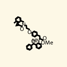 COC(=O)C(Cc1ccc(OCCCN(Cc2cccc(C)c2)C(=O)C2CC2)cc1)Nc1ccccc1C(=O)c1ccccc1